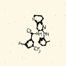 Cc1ccccc1Nc1nc2cccnc2cc1NC(=O)c1cc(F)cc(C(F)(F)F)c1